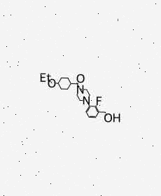 CCOC1CCC(C(=O)N2CCN(c3cccc(CO)c3F)CC2)CC1